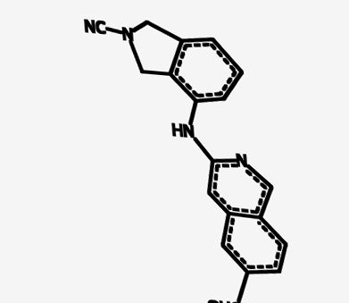 N#CN1Cc2cccc(Nc3cc4cc(C=O)ccc4cn3)c2C1